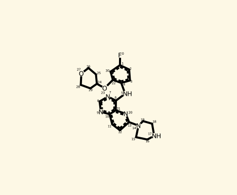 Fc1ccc(Nc2ncnc3ccc(N4CCNCC4)nc23)c(OC2CCOCC2)c1